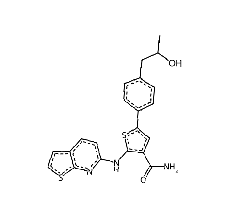 CC(O)Cc1ccc(-c2cc(C(N)=O)c(Nc3ccc4ccsc4n3)s2)cc1